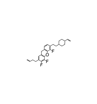 C=CCCc1cc2c(c(F)c1F)Oc1c(ccc(CCC3CCC(C=C)CC3)c1F)C2